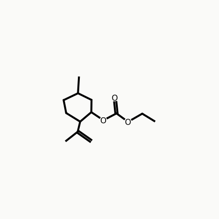 C=C(C)C1CCC(C)CC1OC(=O)OCC